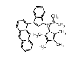 CC1=C(C)[CH]([Zr]([CH]2C=C(c3cccc4cc5ccccc5cc34)c3ccccc32)=[Si](C)C)C(C)=C1C